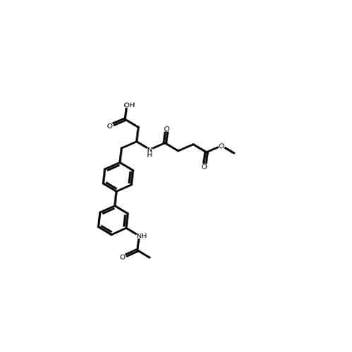 COC(=O)CCC(=O)NC(CC(=O)O)Cc1ccc(-c2cccc(NC(C)=O)c2)cc1